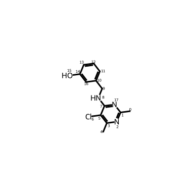 Cc1nc(C)c(Cl)c(NCc2cccc(O)c2)n1